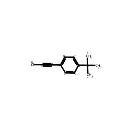 CC(C)(C)c1ccc(C#CCl)cc1